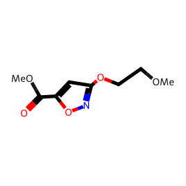 COCCOc1cc(C(=O)OC)on1